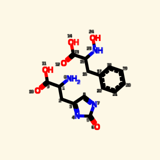 NC(CC1=NC(=O)N=C1)C(=O)O.O=C(O)C(Cc1ccccc1)NO